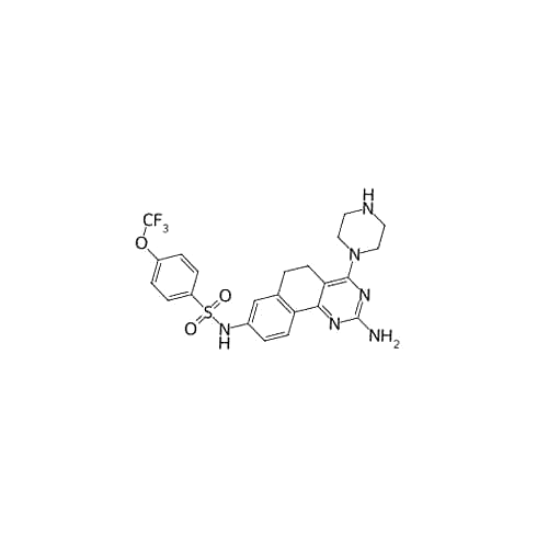 Nc1nc2c(c(N3CCNCC3)n1)CCc1cc(NS(=O)(=O)c3ccc(OC(F)(F)F)cc3)ccc1-2